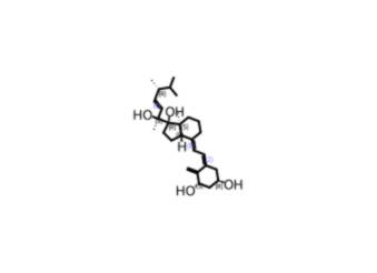 C=C1/C(=C\C=C2/CCC[C@@]3(C)[C@H]2CC[C@]3(O)[C@@](C)(O)/C=C/[C@H](C)C(C)C)C[C@@H](O)C[C@@H]1O